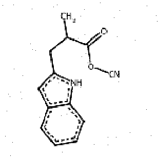 CC(Cc1cc2ccccc2[nH]1)C(=O)OC#N